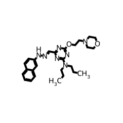 CCCN(CCC)c1nc(/C=N/Nc2ccc3ccccc3c2)nc(OCCN2CCOCC2)n1